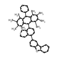 Bc1c(B)c(B)c2c(-c3ccc(-c4ccc5oc6ccccc6c5c4)c4ccccc34)c3c(B)c(B)c(B)c(B)c3c(-c3ccccc3)c2c1B